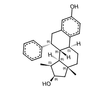 C[C@H]1[C@H]2[C@H]3[C@H](CC[C@]2(C)C[C@H]1O)c1ccc(O)cc1C[C@H]3c1ccccc1